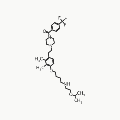 Cc1c(CCN2CCN(C(=O)c3ccc(C(F)(F)F)cc3)CC2)ccc(OCCCCNCCOC(C)C)c1C